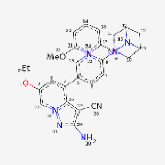 CCOc1cc(-c2ccc(N3CC4CC(C3)N4Cc3cccc(OC)n3)nc2)c2c(C#N)c(N)nn2c1